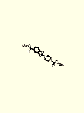 COC(=O)c1ccc2nc(N3CCN(C(=O)OC(C)(C)C)CC3)sc2c1